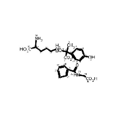 CC(O)(C(=O)O)c1ccc(O)cc1.NCCCC(N)C(=O)O.O=C(O)CNC(=O)c1ccccc1